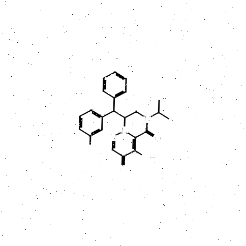 CC(C)N1CC(C(c2ccccc2)c2cccc(I)c2)n2ncc(=O)c(O)c2C1=O